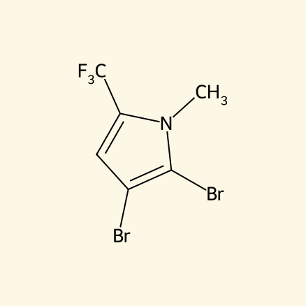 Cn1c(C(F)(F)F)cc(Br)c1Br